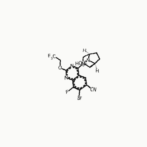 N#Cc1cc2c(N3C[C@H]4CC[C@@H](C3)N4C(=O)O)nc(OCC(F)(F)F)nc2c(F)c1Br